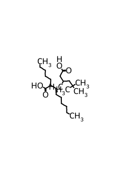 CC(CC(=O)O)CC(C)(C)C.CCCCCCCC(CCCCC)C(=O)O